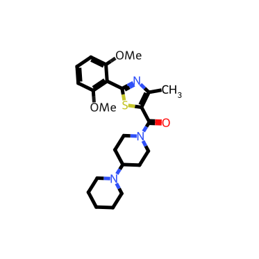 COc1cccc(OC)c1-c1nc(C)c(C(=O)N2CCC(N3CCCCC3)CC2)s1